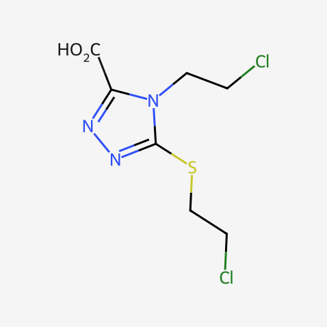 O=C(O)c1nnc(SCCCl)n1CCCl